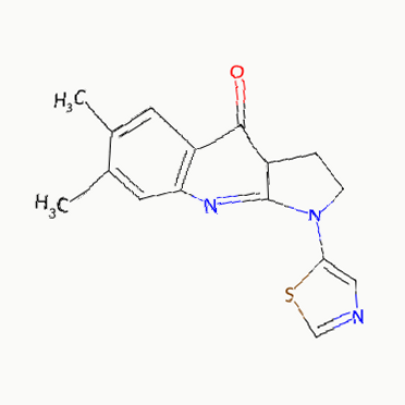 Cc1cc2c(cc1C)C(=O)C1CCN(c3cncs3)C1=N2